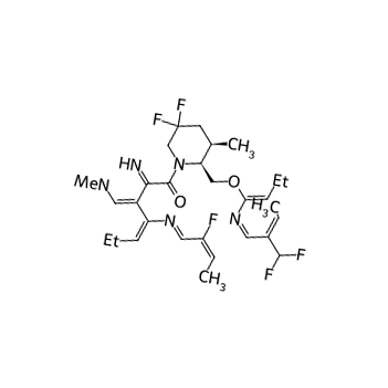 C\C=C(F)/C=N/C(=C/CC)C(=C/NC)/C(=N)C(=O)N1CC(F)(F)C[C@@H](C)[C@H]1COC(=C\CC)/N=C\C(=C/C)C(F)F